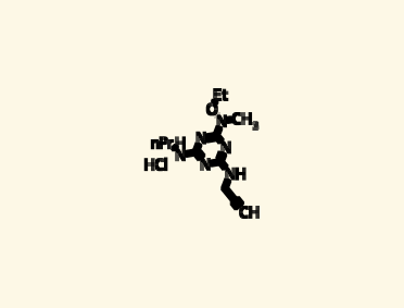 C#CCNc1nc(NCCC)nc(N(C)OCC)n1.Cl